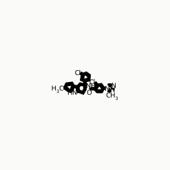 Cc1ccc2c3c([nH]c2c1)CCC(NC(=O)c1ccc(-n2cnnc2C)cc1Cl)(c1cccc(Cl)c1)C3